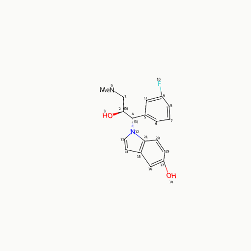 CNC[C@H](O)[C@H](c1cccc(F)c1)n1ccc2cc(O)ccc21